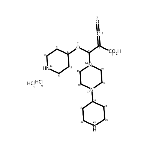 Cl.Cl.O=C=C(C(=O)O)C(OC1CCNCC1)N1CCN(C2CCNCC2)CC1